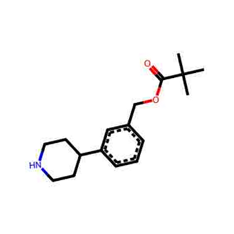 CC(C)(C)C(=O)OCc1cccc(C2CCNCC2)c1